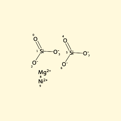 O=[Si]([O-])[O-].O=[Si]([O-])[O-].[Mg+2].[Ni+2]